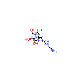 NCCNCCNCC(CCO)(CCO)N(CCO)CCO